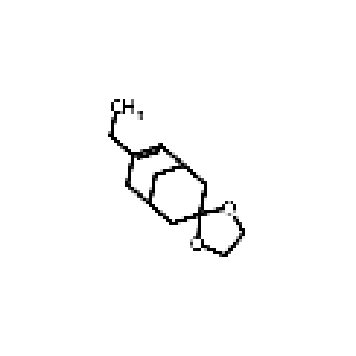 CCC1=CC2CC(C1)CC1(C2)OCCO1